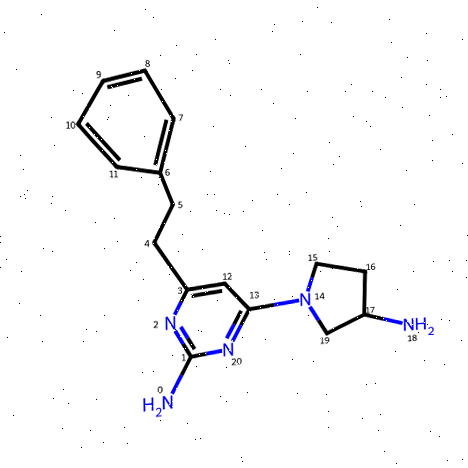 Nc1nc(CCc2ccccc2)cc(N2CCC(N)C2)n1